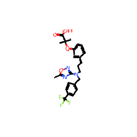 Cc1nc(N(CCCc2cccc(OC(C)(C)C(=O)O)c2)Cc2ccc(C(F)(F)F)cc2)no1